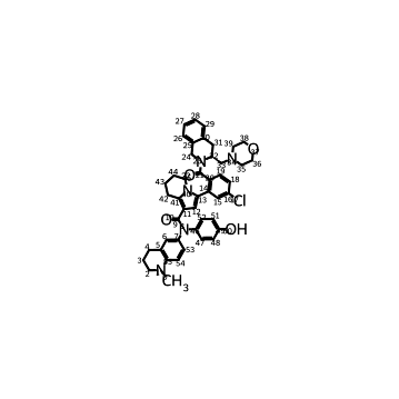 CN1CCCc2cc(N(C(=O)c3cc(-c4cc(Cl)ccc4C(=O)N4Cc5ccccc5C[C@H]4CN4CCOCC4)n4c3CCCC4)c3ccc(O)cc3)ccc21